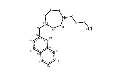 ClCCCN1CCCN(Cc2ccc3ccccc3n2)CC1